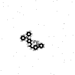 CC(Cc1ccc(N(c2ccccc2)c2ccccc2)cc1)Cc1ccc2c3ccccc3n(C(C)C)c2c1